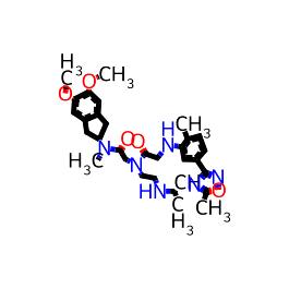 COc1cc2c(cc1OC)CC(N(C)C(=O)CN(CCNC(C)C)C(=O)CNc1cc(-c3noc(C)n3)ccc1C)C2